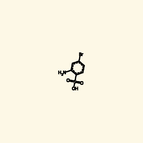 Nc1cc(Br)ccc1S(=O)(=O)O